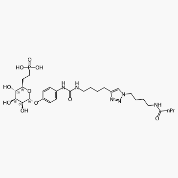 CCCC(=O)NCCCCn1cc(CCCCNC(=O)Nc2ccc(O[C@H]3O[C@H](CCP(=O)(O)O)[C@@H](O)[C@H](O)[C@@H]3O)cc2)nn1